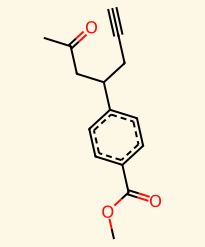 C#CCC(CC(C)=O)c1ccc(C(=O)OC)cc1